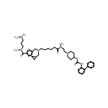 CC(=O)N(C)CCCN(C)C(=O)c1ccc(CN(CCCCCC(=O)N(C)CCN2CCC(OC(=O)Nc3ccccc3-c3ccccc3)CC2)CC2CC2)s1